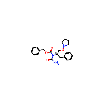 NC(=O)N(C(=O)OCc1ccccc1)[C@@H](CON1CCCC1)Cc1ccccc1